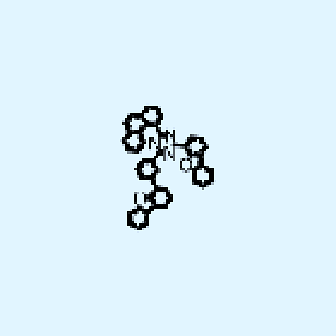 c1cc(-c2nc(-c3cccc4c3oc3ccccc34)nc(-c3cccc4ccc5ccccc5c34)n2)cc(-c2cccc3c2oc2ccccc23)c1